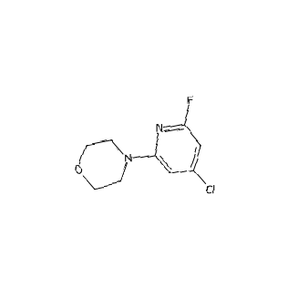 Fc1cc(Cl)cc(N2CCOCC2)n1